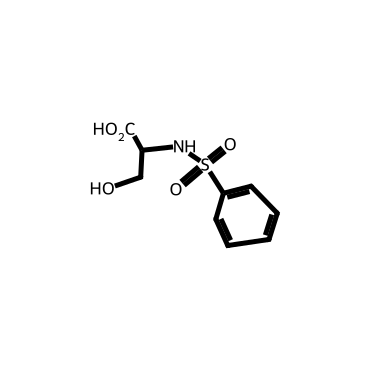 O=C(O)C(CO)NS(=O)(=O)c1ccccc1